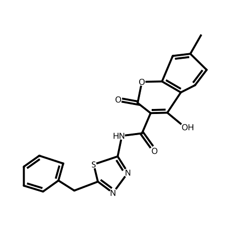 Cc1ccc2c(O)c(C(=O)Nc3nnc(Cc4ccccc4)s3)c(=O)oc2c1